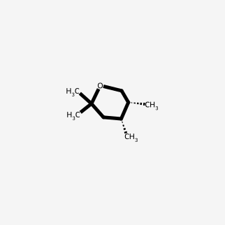 C[C@@H]1CC(C)(C)OC[C@@H]1C